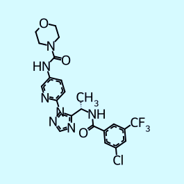 C[C@H](NC(=O)c1cc(Cl)cc(C(F)(F)F)c1)c1ncnn1-c1ccc(NC(=O)N2CCOCC2)cn1